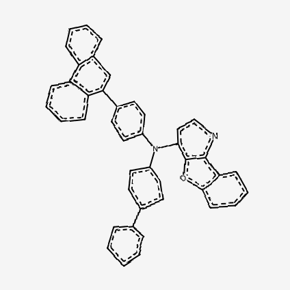 c1ccc(-c2ccc(N(c3ccc(-c4cc5ccccc5c5ccccc45)cc3)c3ccnc4c3oc3ccccc34)cc2)cc1